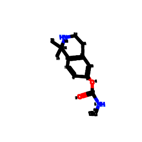 CC(C)(C)NC(=O)Oc1ccc2c(c1)CCNC2(C)C